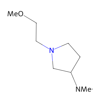 C[N]C1CCN(CCOC)C1